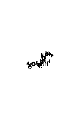 CC(c1ccnc(Nc2nc3cc(F)c(-c4cnn(CC5CC5)c4)cc3[nH]2)c1)N1CCN(C(=O)C2CC2)CC1